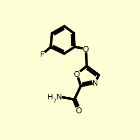 NC(=O)c1ncc(Oc2cccc(F)c2)o1